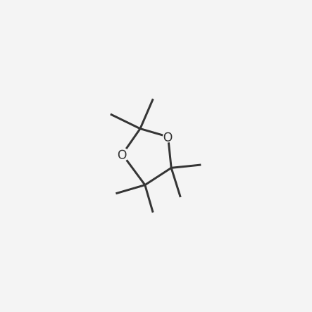 CC1(C)OC(C)(C)C(C)(C)O1